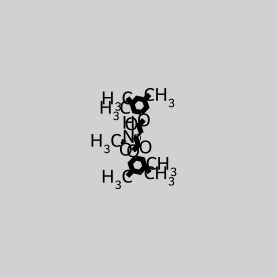 CC(=O)N[C@@H](CC(=O)OC1CC(C)CC(C)(C)C1)C(=O)OC1CC(C)CC(C)(C)C1